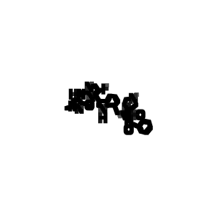 COc1nn(C)cc1Nc1ncc(F)c(-c2c[nH]c3c(C[C@H](CNC(=O)c4ccccc4O)N4CCN(C)CC4)cccc23)n1